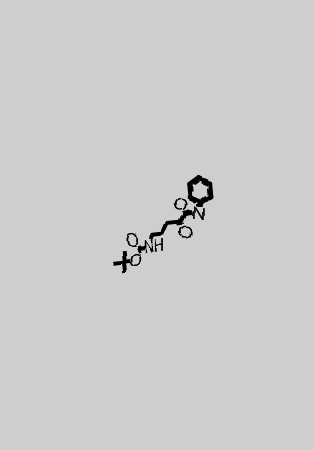 CC(C)(C)OC(=O)NCCCC(=O)c1nc2ccccc2o1